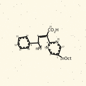 CCCCCCCCc1cnc(/C(=C\C(CCC)c2ccccc2)C(=O)O)nc1